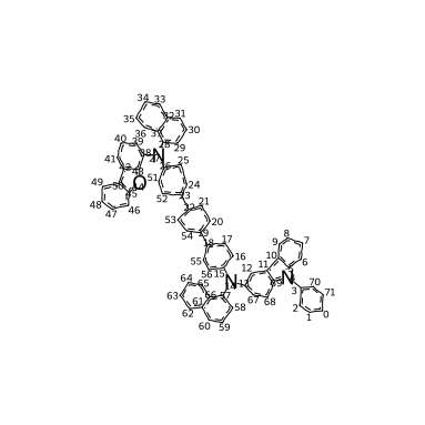 c1ccc(-n2c3ccccc3c3cc(N(c4ccc(-c5ccc(-c6ccc(N(c7cccc8ccccc78)c7cccc8c7oc7ccccc78)cc6)cc5)cc4)c4cccc5ccccc45)ccc32)cc1